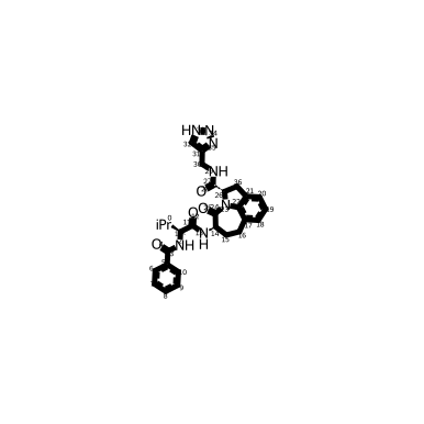 CC(C)[C@H](NC(=O)c1ccccc1)C(=O)N[C@H]1CCc2cccc3c2N(C1=O)[C@H](C(=O)NCc1c[nH]nn1)C3